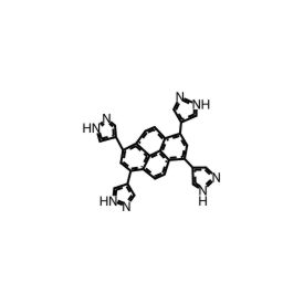 c1n[nH]cc1-c1cc(-c2cn[nH]c2)c2ccc3c(-c4cn[nH]c4)cc(-c4cn[nH]c4)c4ccc1c2c43